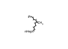 [CH2]C(C)CCCC(C)CCCCCCCCCCC